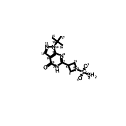 BS(=O)(=O)N1CC(c2nc3c(cnn3C(C)(C)C)c(=O)[nH]2)C1